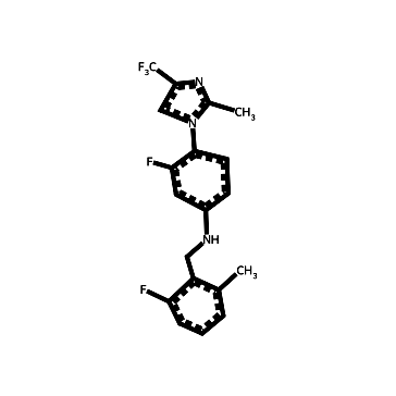 Cc1cccc(F)c1CNc1ccc(-n2cc(C(F)(F)F)nc2C)c(F)c1